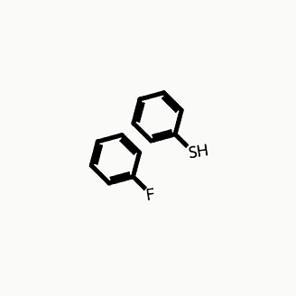 Fc1ccccc1.Sc1ccccc1